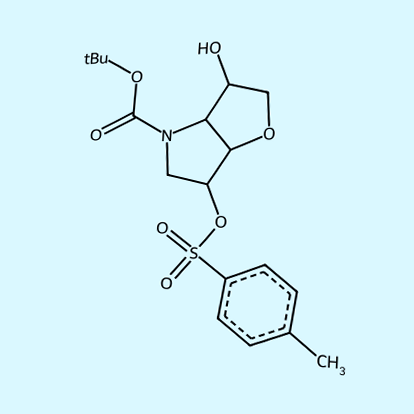 Cc1ccc(S(=O)(=O)OC2CN(C(=O)OC(C)(C)C)C3C(O)COC23)cc1